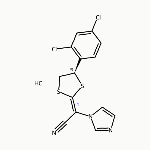 Cl.N#C/C(=C1\SC[C@@H](c2ccc(Cl)cc2Cl)S1)n1ccnc1